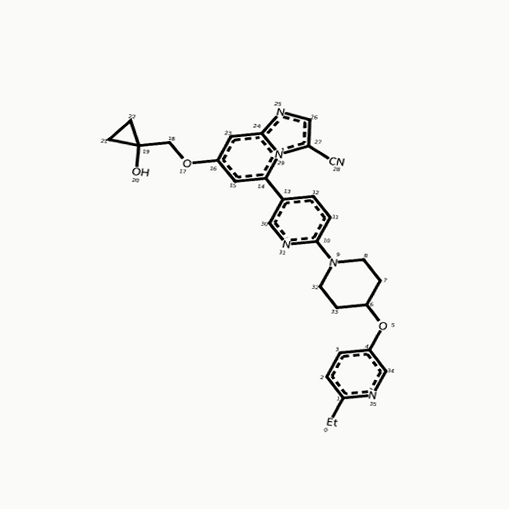 CCc1ccc(OC2CCN(c3ccc(-c4cc(OCC5(O)CC5)cc5ncc(C#N)n45)cn3)CC2)cn1